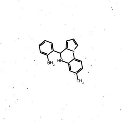 Cc1ccc2c(c1)NC(c1ccccc1N)c1cccn1-2